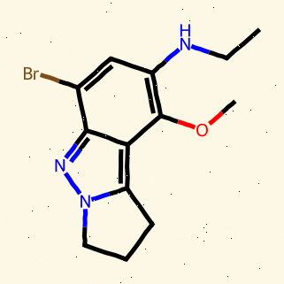 CCNc1cc(Br)c2nn3c(c2c1OC)CCC3